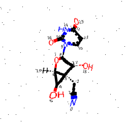 N#CC[C@]12C(O)[C@H]1O[C@@H](n1ccc(=O)[nH]c1=O)[C@@H]2O